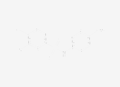 COc1ccc(NS(=O)(=O)c2ccc(Cl)c([N+](=O)[O-])c2)cc1